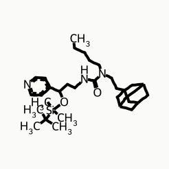 CCCCCN(CCC12CC3CC(CC(C3)C1)C2)C(=O)NCCC(O[Si](C)(C)C(C)(C)C)c1ccncc1